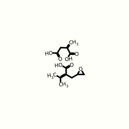 C=C(CC(=O)O)C(=O)O.CC(C)=C(CC1CO1)C(=O)O